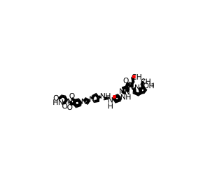 C=CCn1c(=O)c2cnc(Nc3ccc(NCCNC4CCN(C5CN(c6ccc7c(c6)C(=O)N(C6CCC(=O)NC6=O)C7=O)C5)CC4)cc3)nc2n1-c1ccc2c(n1)[C@@](O)(CC)CC2